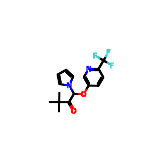 CC(C)(C)C(=O)C(Oc1ccc(C(F)(F)F)nc1)n1cccc1